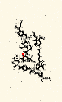 CCCCC(I)(CC)C(CC(=O)NCCCCCC(=O)N[C@H](C(=O)N[C@@H](CCCNC(N)=O)C(=O)Nc1ccc(COC(=O)N(C)[C@@H](CO)C(=O)N[C@H](C(=O)N[C@@H]([C@@H](C)CC)[C@@H](CC(=O)N2CCC[C@H]2[C@H](OC)[C@@H](C)C(=O)N[C@H](CO)Cc2cccc(C(CC)CCC)c2)OC)C(C)C)cc1)C(C)C)C(=O)O